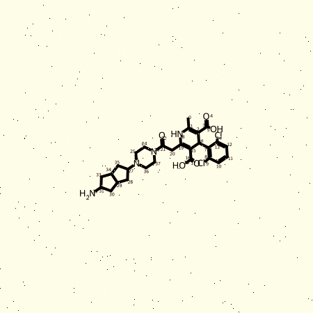 CC1=C(C(=O)O)C(c2c(Cl)cccc2Cl)C(C(=O)O)=C(CC(=O)N2CCN(C3CC4CC(N)CC4C3)CC2)N1